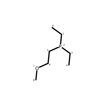 CCP(CC)CCOC